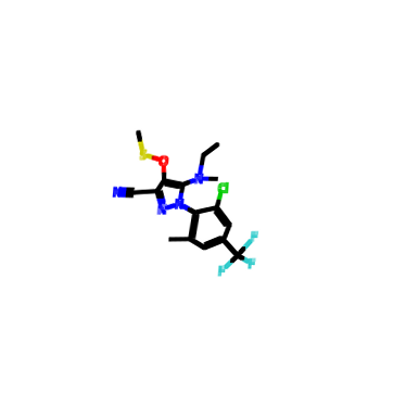 CCN(C)c1c(OSC)c(C#N)nn1-c1c(C)cc(C(F)(F)F)cc1Cl